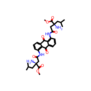 COC(=O)[C@@](N)(CC(=O)Nc1cccc2c1C(=O)c1cccc(NC(=O)C[C@@](N)(CC(C)C)C(=O)OC)c1C2=O)CC(C)C